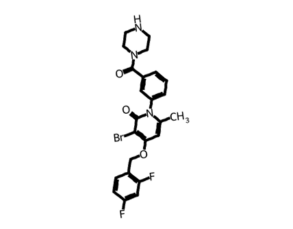 Cc1cc(OCc2ccc(F)cc2F)c(Br)c(=O)n1-c1cccc(C(=O)N2CCNCC2)c1